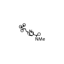 CNC(=O)c1cc[n+](CCS(=O)(=O)[O-])nc1